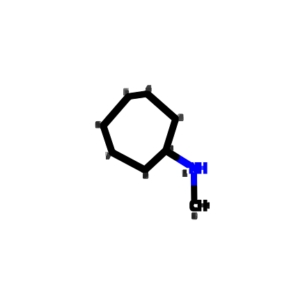 [CH]NC1CCCCCC1